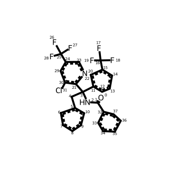 O=C(NC(Cc1ccccc1)(c1cccc(C(F)(F)F)c1)c1ncc(C(F)(F)F)cc1Cl)c1ccccc1